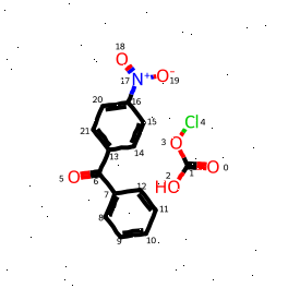 O=C(O)OCl.O=C(c1ccccc1)c1ccc([N+](=O)[O-])cc1